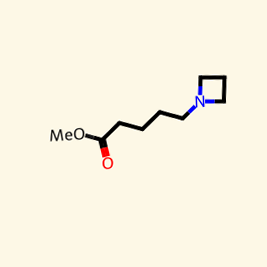 COC(=O)CCCCN1CCC1